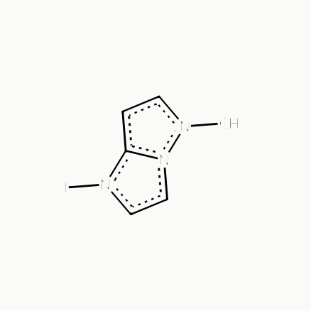 Cn1ccc2n1cc[n+]2I